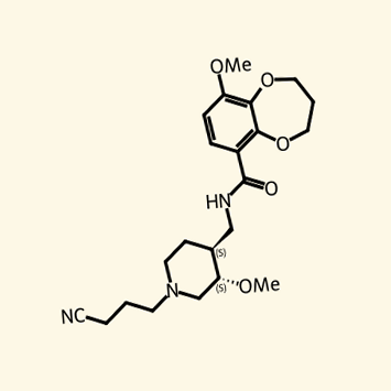 COc1ccc(C(=O)NC[C@@H]2CCN(CCCC#N)C[C@H]2OC)c2c1OCCCO2